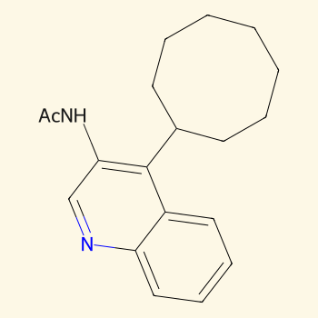 CC(=O)Nc1cnc2ccccc2c1C1CCCCCCC1